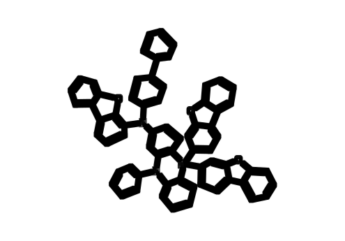 c1ccc(-c2ccc(N(c3ccc4c(c3)N(c3ccccc3)c3ccccc3[Si]4(c3ccc4c(c3)oc3ccccc34)c3ccc4c(c3)oc3ccccc34)c3cccc4c3oc3ccccc34)cc2)cc1